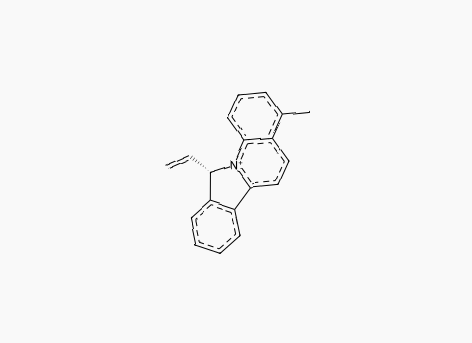 C=C[C@H]1c2ccccc2-c2ccc3c(C)cccc3[n+]21